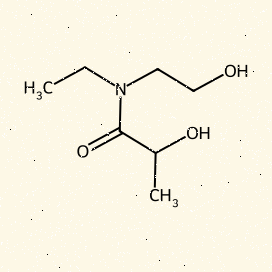 CCN(CCO)C(=O)C(C)O